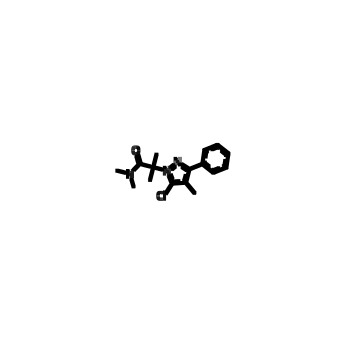 Cc1c(-c2ccccc2)nn(C(C)(C)C(=O)N(C)C)c1Cl